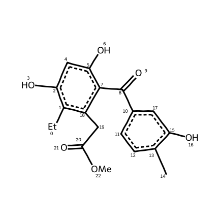 CCc1c(O)cc(O)c(C(=O)c2ccc(C)c(O)c2)c1CC(=O)OC